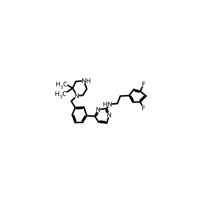 CC1(C)CNCCN1Cc1cccc(-c2ccnc(NCCc3cc(F)cc(F)c3)n2)c1